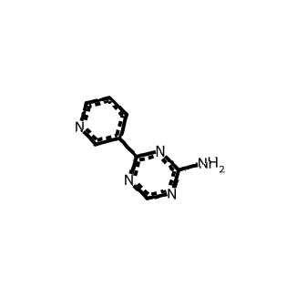 Nc1ncnc(-c2cccnc2)n1